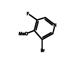 COc1c(F)cncc1Br